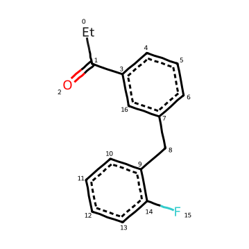 CCC(=O)c1cccc(Cc2ccccc2F)c1